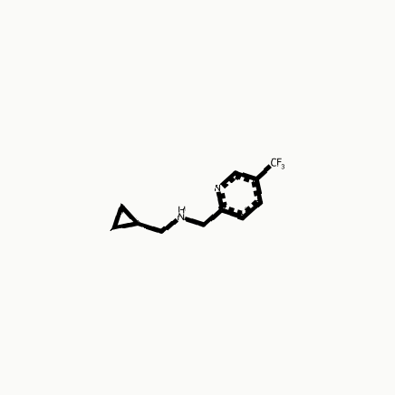 FC(F)(F)c1ccc(CNCC2CC2)nc1